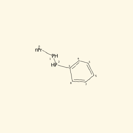 CCCPPc1ccccc1